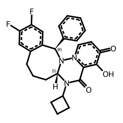 O=C1c2c(O)c(=O)ccn2N2[C@H](c3ccccc3)c3cc(F)c(F)cc3CCC[C@H]2N1C1CCC1